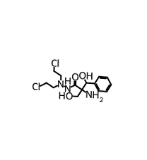 NC(CO)(C(=O)NN(CCCl)CCCl)C(O)c1ccccc1